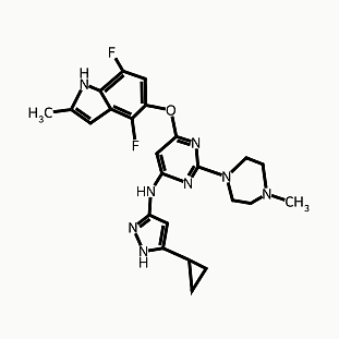 Cc1cc2c(F)c(Oc3cc(Nc4cc(C5CC5)[nH]n4)nc(N4CCN(C)CC4)n3)cc(F)c2[nH]1